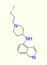 FCCCN1CCC(Nc2cccc3cnccc23)CC1